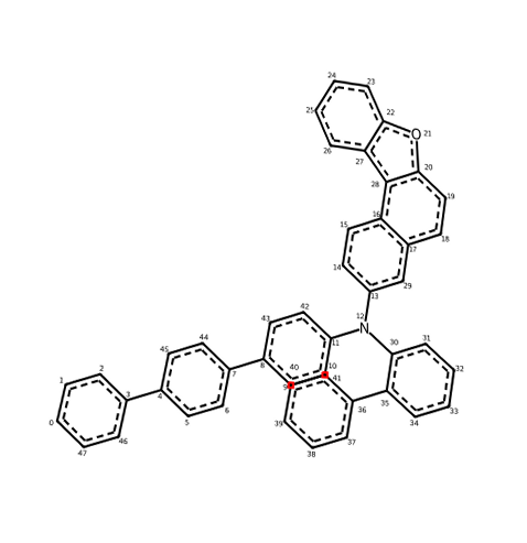 c1ccc(-c2ccc(-c3ccc(N(c4ccc5c(ccc6oc7ccccc7c65)c4)c4ccccc4-c4ccccc4)cc3)cc2)cc1